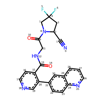 N#CC1CC(F)(F)CN1C(=O)CNC(=O)c1ccncc1-c1ccc2ncccc2c1